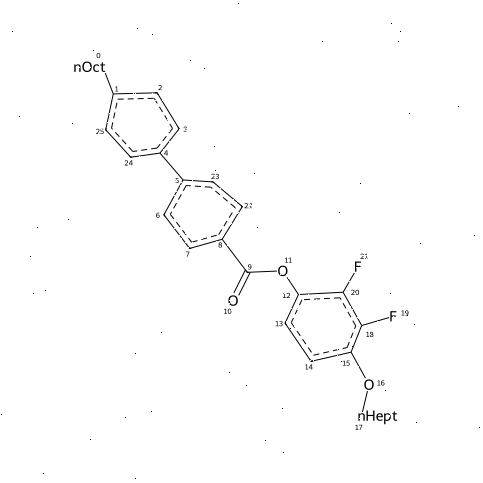 CCCCCCCCc1ccc(-c2ccc(C(=O)Oc3ccc(OCCCCCCC)c(F)c3F)cc2)cc1